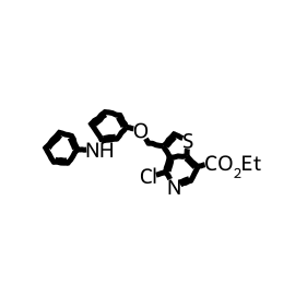 CCOC(=O)c1cnc(Cl)c2c(COc3cccc(Nc4ccccc4)c3)csc12